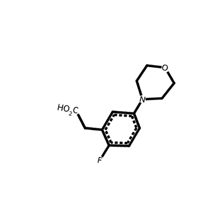 O=C(O)Cc1cc(N2CCOCC2)ccc1F